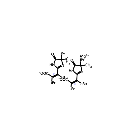 CCCC/C(C1=NC(C)(C(C)C)C(=O)N1)=C(/C(=O)[O-])C(C)C.CCCC/C(C1=NC(C)(C(C)C)C(=O)N1)=C(/C(=O)[O-])C(C)C.[Mg+2]